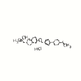 CSc1ccc(-c2ccc(COc3ccc4c(c3)CCC(CN(C)C)C4)cc2)cc1.Cl